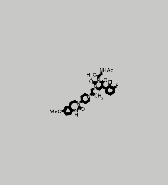 C=C(Cn1cc(-c2cccc(F)c2Cl)c(=O)n([C@H](C)CNC(C)=O)c1=O)N1CCC(N2CCc3cc(OC)ccc3NC2=O)CC1